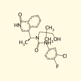 C[C@@H](c1c[nH]c(=O)c2ccccc12)N(CC(C)(C)CO)C(=O)Nc1ccc(F)c(Cl)c1